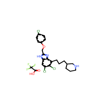 Clc1ccc(OCc2nc3c(CCCC4CCCNC4)c(Cl)c(Cl)cc3[nH]2)cc1.O=C(O)C(F)(F)F